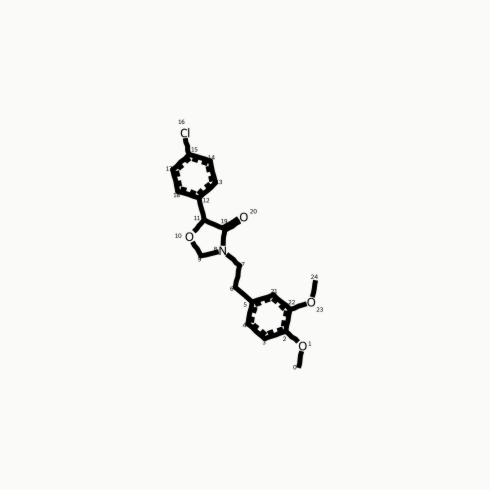 COc1ccc(CCN2COC(c3ccc(Cl)cc3)C2=O)cc1OC